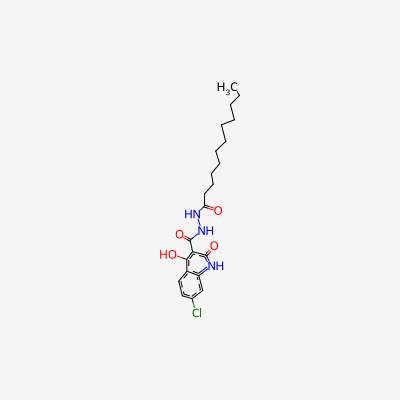 CCCCCCCCCCCC(=O)NNC(=O)c1c(O)c2ccc(Cl)cc2[nH]c1=O